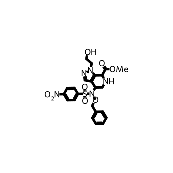 COC(=O)C1NCC(N(OCc2ccccc2)S(=O)(=O)c2ccc([N+](=O)[O-])cc2)c2cnn(CCO)c21